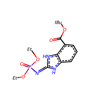 CCOP(=O)(/N=c1/[nH]c2cccc(C(=O)OC(C)(C)C)c2[nH]1)OCC